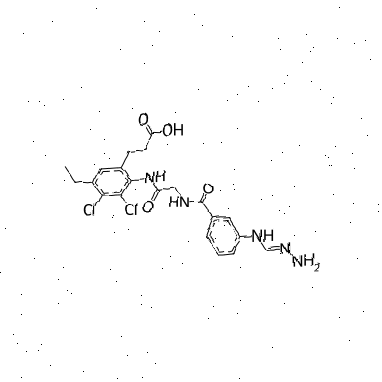 CCc1cc(CCC(=O)O)c(NC(=O)CNC(=O)c2cccc(NC=NN)c2)c(Cl)c1Cl